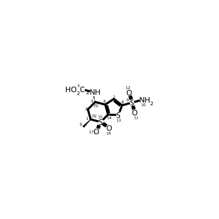 C[C@H]1C[C@H](NC(=O)O)c2cc(S(N)(=O)=O)sc2S1(=O)=O